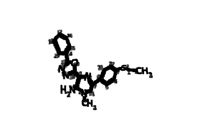 CCSc1ccc(C2=NC(c3nnc(-c4ccccc4)o3)=C(N)N(C)C2)cc1